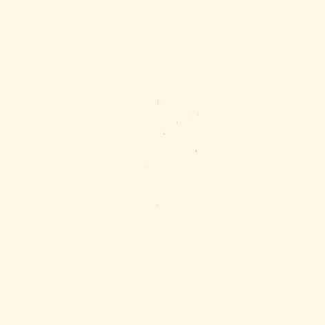 CCOC(C(=O)O)C(CC)c1ccc(O)cc1